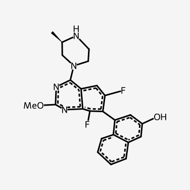 COc1nc(N2CCN[C@H](C)C2)c2cc(F)c(-c3cc(O)cc4ccccc34)c(F)c2n1